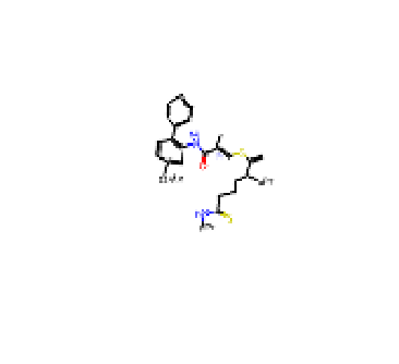 C=C(S/C=C(\C)C(=O)Nc1cc(OC)ccc1-c1ccccc1)C(CCC)CCCC(=S)NCCC